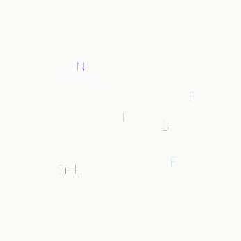 FB(F)F.[SiH4].c1ccncc1